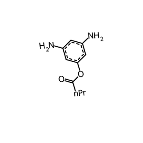 CCCC(=O)Oc1cc(N)cc(N)c1